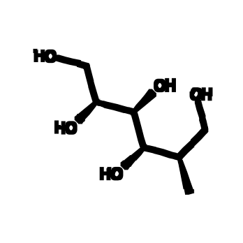 C[C@H](CO)[C@@H](O)[C@H](O)[C@@H](O)CO